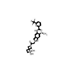 COc1cc2nn(CC(=O)N3CC4(CCS4(O)O)C3)cc2cc1NC(=O)c1cccc(C(F)(F)F)n1